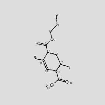 CCCOC(=O)C1CC(C)C(C(=O)O)C=C1C